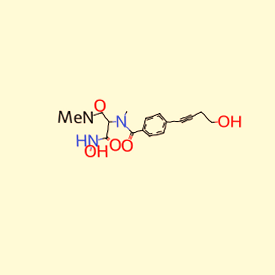 CNC(=O)C(C(=O)NO)N(C)C(=O)c1ccc(C#CCCO)cc1